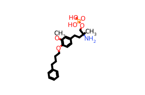 COc1cc(CCC(C)(N)COP(=O)(O)O)ccc1OCCCCc1ccccc1